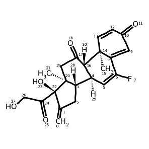 C=C1C[C@H]2[C@@H]3C=C(F)C4=CC(=O)C=C[C@]4(C)[C@H]3C(=O)C[C@]2(C)[C@@]1(O)C(=O)CO